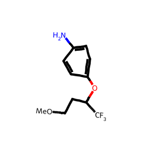 COCCC(Oc1ccc(N)cc1)C(F)(F)F